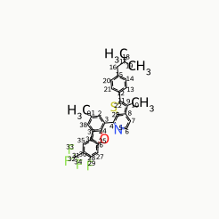 Cc1cc(-c2nccc3c(C)c(-c4ccc(CC(C)C)cc4)sc23)c2oc3cc(F)c(C(F)(F)F)cc3c2c1